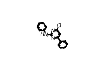 Clc1cc(-c2ccccc2)nc(Nc2ccccc2)n1